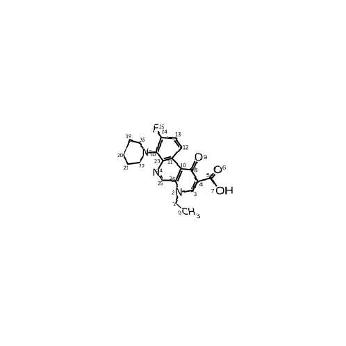 CCn1cc(C(=O)O)c(=O)c2c3ccc(F)c(N4CCCCC4)c3ncc21